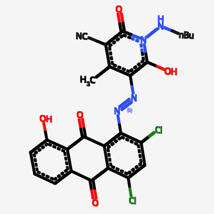 CCCCNn1c(O)c(/N=N/c2c(Cl)cc(Cl)c3c2C(=O)c2c(O)cccc2C3=O)c(C)c(C#N)c1=O